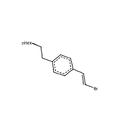 CCCCCCCCc1ccc(/C=C/Br)cc1